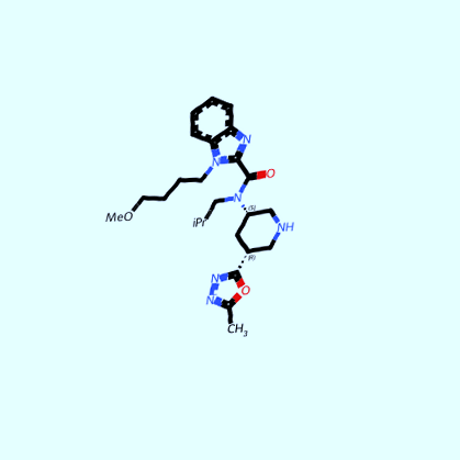 COCCCCn1c(C(=O)N(CC(C)C)[C@@H]2CNC[C@H](c3nnc(C)o3)C2)nc2ccccc21